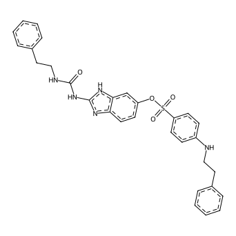 O=C(NCCc1ccccc1)Nc1nc2ccc(OS(=O)(=O)c3ccc(NCCc4ccccc4)cc3)cc2[nH]1